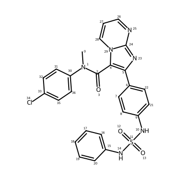 CN(C(=O)c1c(-c2ccc(NS(=O)(=O)Nc3ccccc3)cc2)nc2ncccn12)c1ccc(Cl)cc1